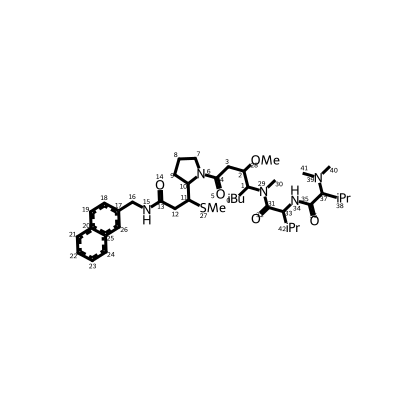 CCC(C)C(C(CC(=O)N1CCCC1C(CC(=O)NCc1ccc2ccccc2c1)SC)OC)N(C)C(=O)C(NC(=O)C(C(C)C)N(C)C)C(C)C